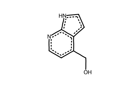 OCc1ccnc2[nH]ccc12